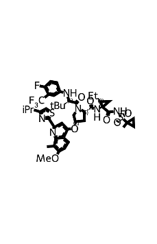 CC[C@@H]1C[C@]1(NC(=O)[C@@H]1C[C@@H](Oc2cc(-c3nc(C(C)C)cs3)nc3c(C)c(OC)ccc23)CN1C(=O)[C@@H](Nc1ccc(F)c(C(F)(F)F)c1)C(C)(C)C)C(=O)NS(=O)(=O)C1(C)CC1